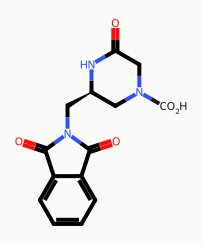 O=C1CN(C(=O)O)C[C@@H](CN2C(=O)c3ccccc3C2=O)N1